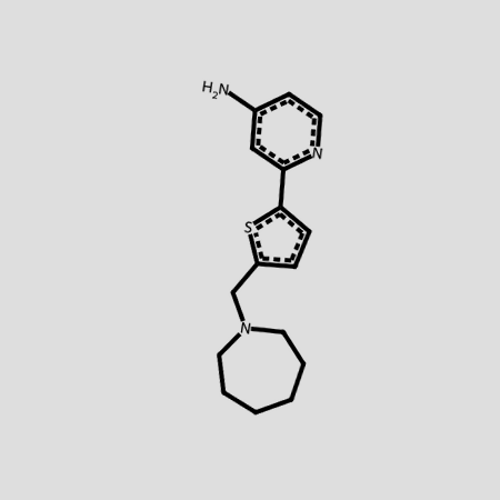 Nc1ccnc(-c2ccc(CN3CCCCCC3)s2)c1